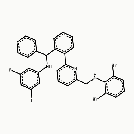 CC(C)c1cccc(C(C)C)c1NCc1cccc(-c2ccccc2C(Nc2cc(F)cc(F)c2)c2ccccc2)n1